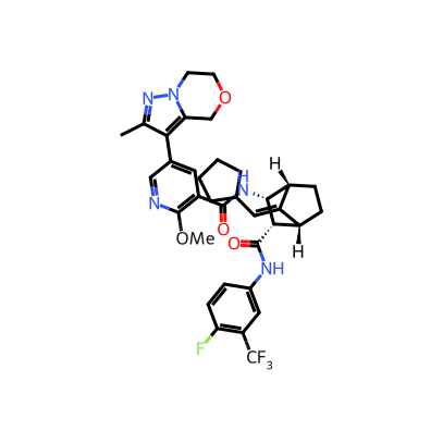 COc1ncc(-c2c(C)nn3c2COCC3)cc1C(=O)N[C@H]1[C@@H](C(=O)Nc2ccc(F)c(C(F)(F)F)c2)[C@H]2CC[C@@H]1/C2=C\C1CCCC1